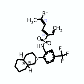 C=C/C(=C\C=C(/C)Br)S(=O)(=O)Nc1cc(C(F)(F)F)ccc1N1CC[C@@H]2CCCC[C@H]2C1